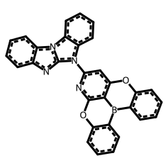 c1ccc2c(c1)Oc1cc(-n3c4ccccc4n4c5ccccc5nc34)nc3c1B2c1ccccc1O3